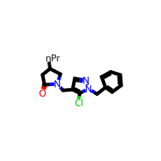 CCCC1CC(=O)N(Cc2cnn(Cc3ccccc3)c2Cl)C1